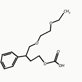 CCOCCOCC(CCOC(=O)O)c1ccccc1